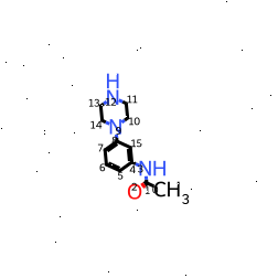 CC(=O)Nc1cccc(N2CCNCC2)c1